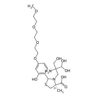 COCCOCCOCCOc1ccc(C2SC[C@](C)(C(=O)O)N2CC(N)(CO)C(O)O)c(O)c1